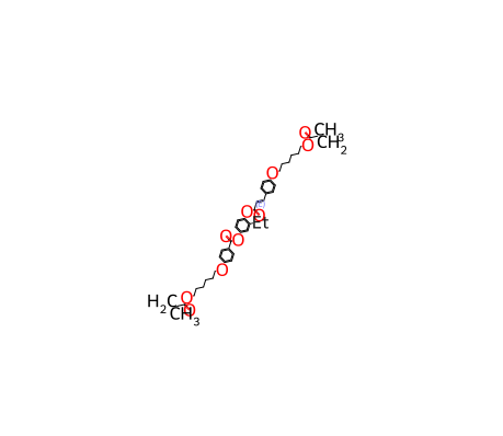 C=C(C)C(=O)OCCCCCCOc1ccc(/C=C/C(=O)Oc2ccc(OC(=O)c3ccc(OCCCCCCOC(=O)C(=C)C)cc3)cc2CC)cc1